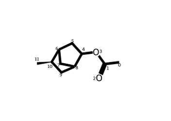 CC(=O)OC1CC2CC1C[C@H]2C